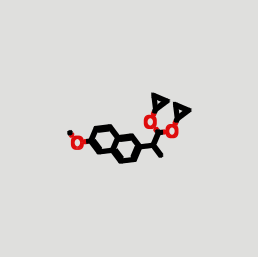 COc1ccc2cc(C(C)C(OC3CC3)OC3CC3)ccc2c1